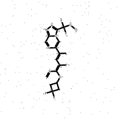 C=N/C(OC1CC(F)(F)C1)=C(F)\C=C(/C)c1cn2c(C(F)(F)OCC)nnc2cn1